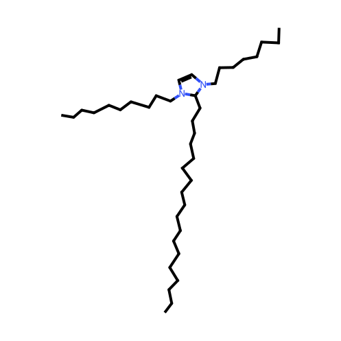 CCCCCCCCCCCCCCCCCCC1N(CCCCCCCC)C=CN1CCCCCCCCCC